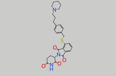 O=C1CCC(N2C(=O)c3cccc(SCc4ccc(CCCN5CCCCC5)cc4)c3C2=O)C(=O)N1